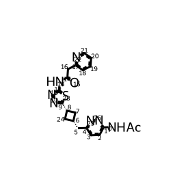 CC(=O)Nc1ccc(C[C@H]2C[C@@H](c3nnc(NC(=O)Cc4ccccn4)s3)C2)nn1